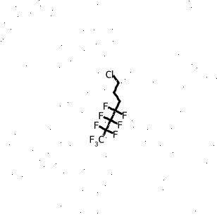 FC(F)(F)C(F)(F)C(F)(F)C(F)(F)CC[CH]Cl